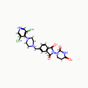 O=C1CCN(N2C(=O)c3ccc(CN4CCN(c5c(F)cncc5Cl)CC4)cc3C2=O)C(=O)N1